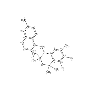 Cc1ccc2c(NC3c4cc(C)c(C#N)c(O)c4C(C)(C)CC3(O)C(F)(F)F)c(F)ccc2n1